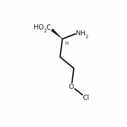 N[C@@H](CCOCl)C(=O)O